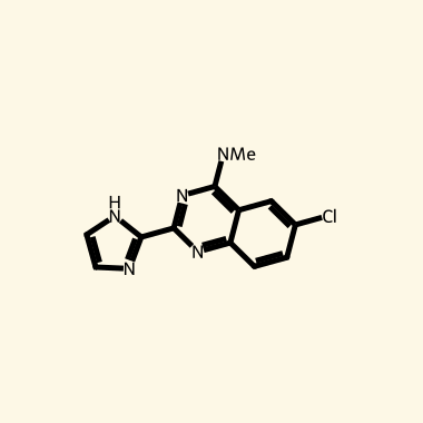 CNc1nc(-c2ncc[nH]2)nc2ccc(Cl)cc12